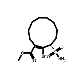 COC(=O)/C1=C(\Br)[C@@H](S(N)(=O)=O)CCCCCCCC1